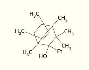 CCC1(O)C2(C)CCC(C)(C(C)=C2C)C1(C)C